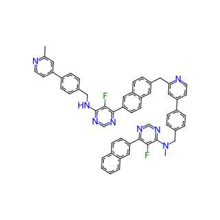 Cc1cc(-c2ccc(CNc3ncnc(-c4ccc5cc(Cc6cc(-c7ccc(CN(C)c8ncnc(-c9ccc%10ccccc%10c9)c8F)cc7)ccn6)ccc5c4)c3F)cc2)ccn1